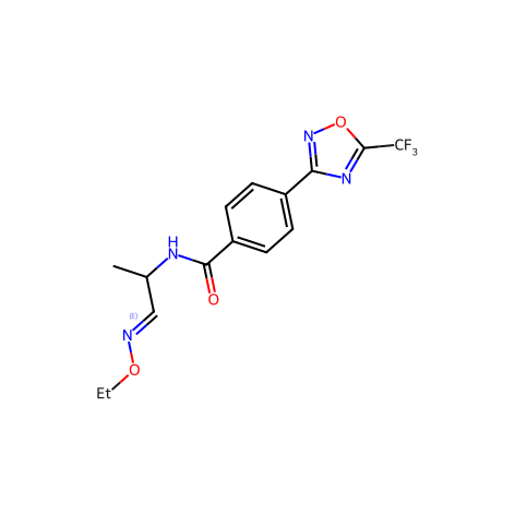 CCO/N=C/C(C)NC(=O)c1ccc(-c2noc(C(F)(F)F)n2)cc1